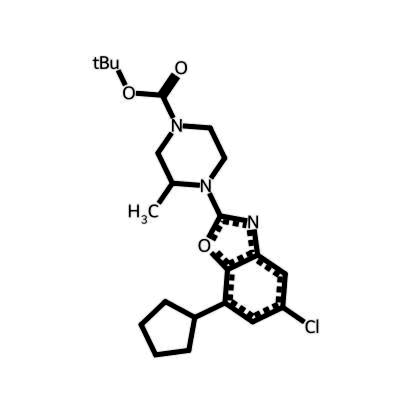 CC1CN(C(=O)OC(C)(C)C)CCN1c1nc2cc(Cl)cc(C3CCCC3)c2o1